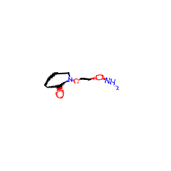 NOCCON1CCCC1=O